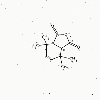 CC1(C)C=CC(C)(C)C2C(=O)OC(=O)C21